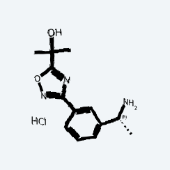 C[C@@H](N)c1cccc(-c2noc(C(C)(C)O)n2)c1.Cl